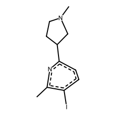 Cc1nc(C2CCN(C)C2)ccc1I